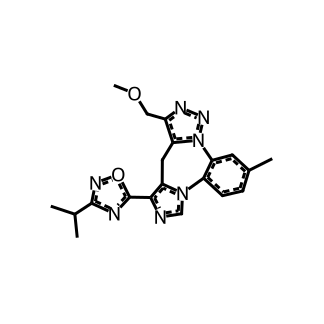 COCc1nnn2c1Cc1c(-c3nc(C(C)C)no3)ncn1-c1ccc(C)cc1-2